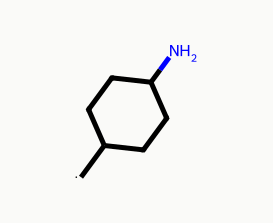 [CH2]C1CCC(N)CC1